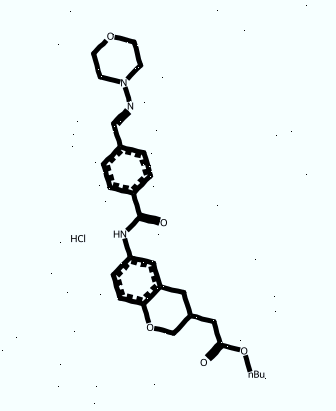 CCCCOC(=O)CC1COc2ccc(NC(=O)c3ccc(/C=N/N4CCOCC4)cc3)cc2C1.Cl